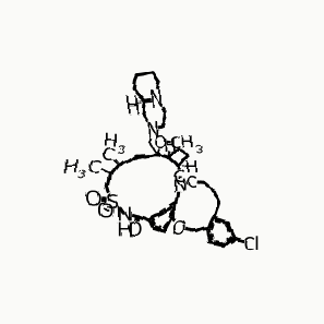 CO[C@@]1(CN2CCN3CCCC[C@@H]3C2)/C=C/[C@H](C)[C@H](C)CS(=O)(=O)NC(=O)c2ccc3c(c2)N(CCCCc2cc(Cl)ccc2CO3)C[C@@H]2CC[C@H]21